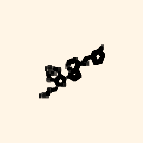 CCCCOC[C@H]1O[C@@H](c2ccc3c(NCc4cccc(I)c4)ncnn23)[C@H](OCCCC)[C@@H]1OCCCC